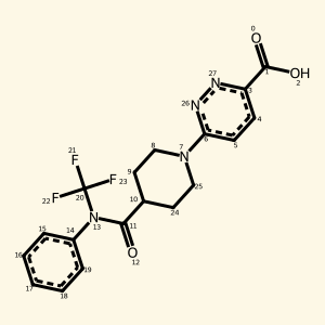 O=C(O)c1ccc(N2CCC(C(=O)N(c3ccccc3)C(F)(F)F)CC2)nn1